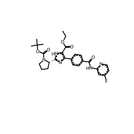 CCOC(=O)c1[nH]c([C@@H]2CCCN2C(=O)OC(C)(C)C)nc1-c1ccc(C(=O)Nc2cc(F)ccn2)cc1